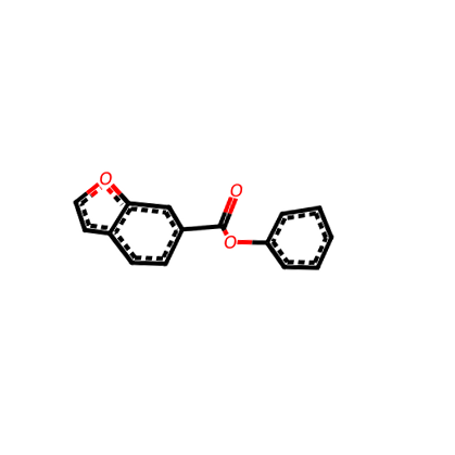 O=C(Oc1ccccc1)c1ccc2ccoc2c1